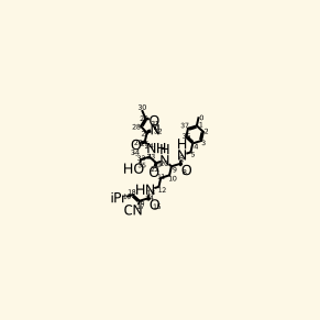 Cc1ccc(CNC(=O)C(CCCNC(=O)C(C#N)=CC(C)C)NC(=O)[C@@H](NC(=O)c2cc(C)on2)[C@@H](C)O)cc1